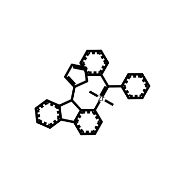 [CH3][Zr]([CH3])(=[C](c1ccccc1)c1ccccc1)[c]1cccc2c1C(C1=CC=CC1)c1ccccc1-2